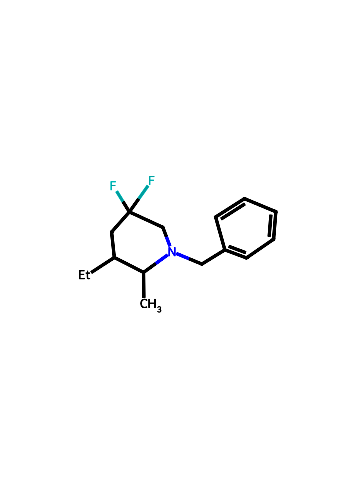 CCC1CC(F)(F)CN(Cc2ccccc2)C1C